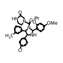 COc1ccc(C2NC(c3ccc(Cl)cc3)C(c3cccc(C)c3)N2C(=O)N2CCNC(=O)C2)c(OC(C)C)c1